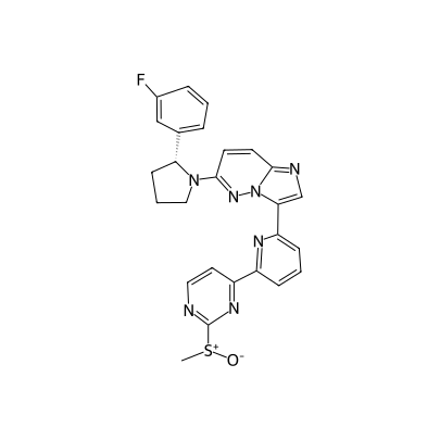 C[S+]([O-])c1nccc(-c2cccc(-c3cnc4ccc(N5CCC[C@@H]5c5cccc(F)c5)nn34)n2)n1